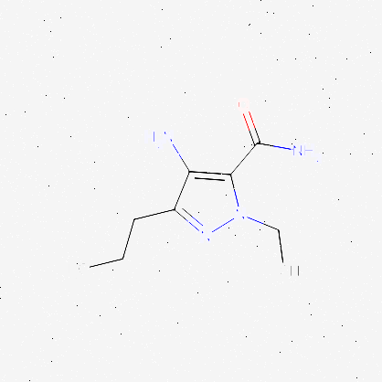 CCCc1nn(CC)c(C(N)=O)c1N